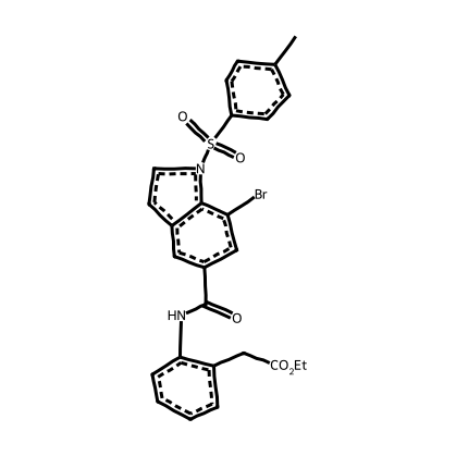 CCOC(=O)Cc1ccccc1NC(=O)c1cc(Br)c2c(ccn2S(=O)(=O)c2ccc(C)cc2)c1